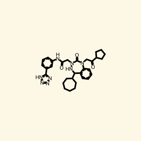 O=C(CN1NC(C2CCCCCC2)c2ccccc2N(CC(=O)C2CCCC2)C1=O)Nc1cccc(-c2nnn[nH]2)c1